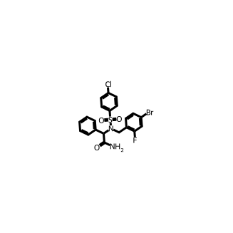 NC(=O)C(c1ccccc1)N(Cc1ccc(Br)cc1F)S(=O)(=O)c1ccc(Cl)cc1